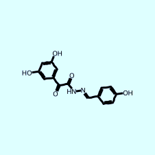 O=C(NN=Cc1ccc(O)cc1)C(=O)c1cc(O)cc(O)c1